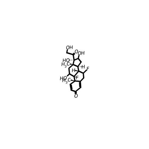 C[C@]12C=CC(=O)C=C1CC(F)[C@H]1[C@@H]3CC(O)[C@](O)(C(=O)CO)[C@@]3(C)CC(O)[C@@]12F